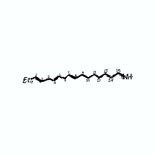 CCC=CCC=CCC=CCCCCCCC[NH]